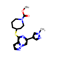 Cn1cc(-c2cn3nccc3c(SC3CCCN(C(=O)OC(C)(C)C)CC3)n2)cn1